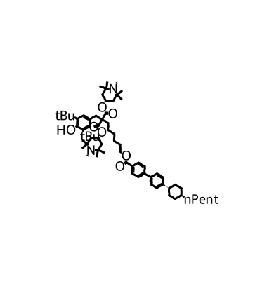 CCCCC[C@H]1CC[C@H](c2ccc(-c3ccc(C(=O)OCCCCCCC(Cc4cc(C(C)(C)C)c(O)c(C(C)(C)C)c4)(C(=O)OC4CC(C)(C)N(C)C(C)(C)C4)C(=O)OC4CC(C)(C)N(C)C(C)(C)C4)cc3)cc2)CC1